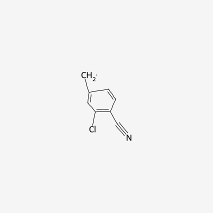 [CH2]c1ccc(C#N)c(Cl)c1